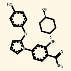 NC(=O)c1ccc(-n2cccc2Oc2ccc(O)cc2)cc1N[C@H]1CC[C@H](O)CC1